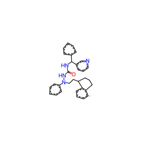 O=C(NC(c1ccccc1)c1cccnc1)NN(CCC1CCCc2[c]cccc21)c1ccccc1